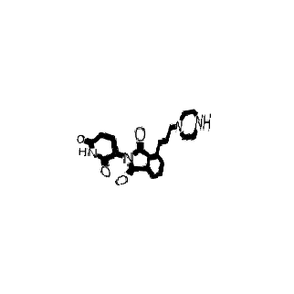 O=C1CCC(N2C(=O)c3cccc(CCCN4CCNCC4)c3C2=O)C(=O)N1